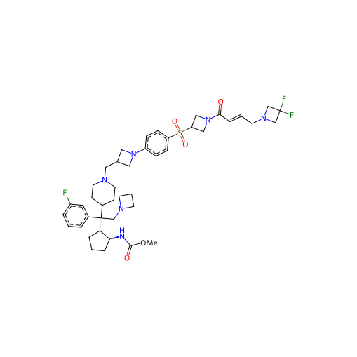 COC(=O)N[C@H]1CCC[C@@H]1C(CN1CCC1)(c1cccc(F)c1)C1CCN(CC2CN(c3ccc(S(=O)(=O)C4CN(C(=O)/C=C/CN5CC(F)(F)C5)C4)cc3)C2)CC1